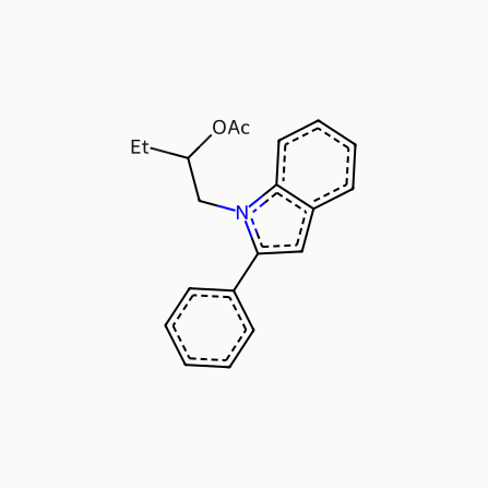 CCC(Cn1c(-c2ccccc2)cc2ccccc21)OC(C)=O